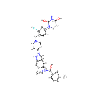 COc1cc2nn(C3CCN(Cc4ccc(N5CCC(=O)NC5=O)cc4F)CC3)cc2cc1NC(=O)c1cccc(C(F)(F)F)c1